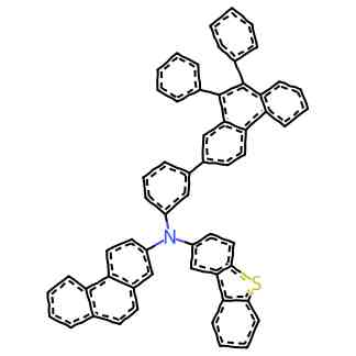 c1ccc(-c2c(-c3ccccc3)c3cc(-c4cccc(N(c5ccc6c(ccc7ccccc76)c5)c5ccc6sc7ccccc7c6c5)c4)ccc3c3ccccc23)cc1